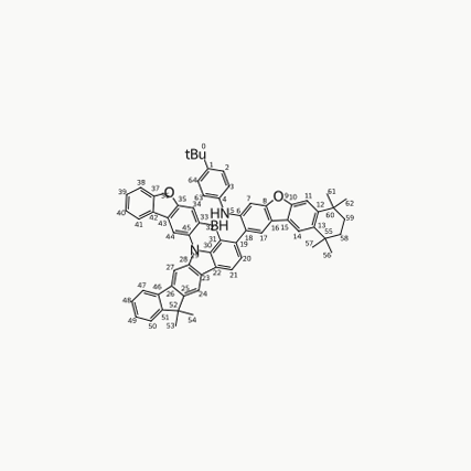 CC(C)(C)c1ccc(Nc2cc3oc4cc5c(cc4c3cc2-c2ccc3c4cc6c(cc4n4c3c2Bc2cc3oc7ccccc7c3cc2-4)-c2ccccc2C6(C)C)C(C)(C)CCC5(C)C)cc1